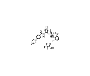 CN1CCN(c2ccc(C(=O)Nc3n[nH]c4c3CN(C(=O)Nc3c(F)cccc3Br)C4(C)C)cc2)CC1.O=C(O)C(F)(F)F